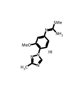 COc1cc(N=C(N)SC)ccc1-n1cnc(C)n1.I